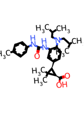 Cc1ccc(NC(=O)Nc2cc([C@H]3[C@@H](C(=O)O)C3(C)C)ccc2N(CC(C)C)CC(C)C)cc1